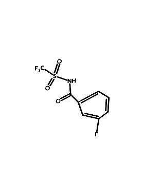 O=C(NS(=O)(=O)C(F)(F)F)c1cccc(F)c1